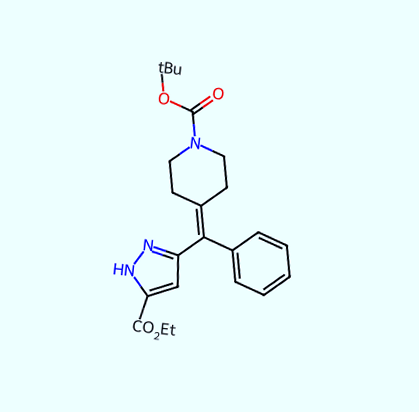 CCOC(=O)c1cc(C(=C2CCN(C(=O)OC(C)(C)C)CC2)c2ccccc2)n[nH]1